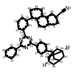 N#Cc1ccc2ccc3c(-c4cccc(-c5nc(-c6ccccc6)nc(-c6ccc(C78CC9C[C@H](C7)C[C@@H](C9)C8)cc6)n5)c4)cccc3c2c1